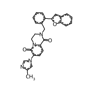 Cc1cn(-c2ccc3n(c2=O)CCN(Cc2ccccc2-c2cc4ccccc4o2)C3=O)cn1